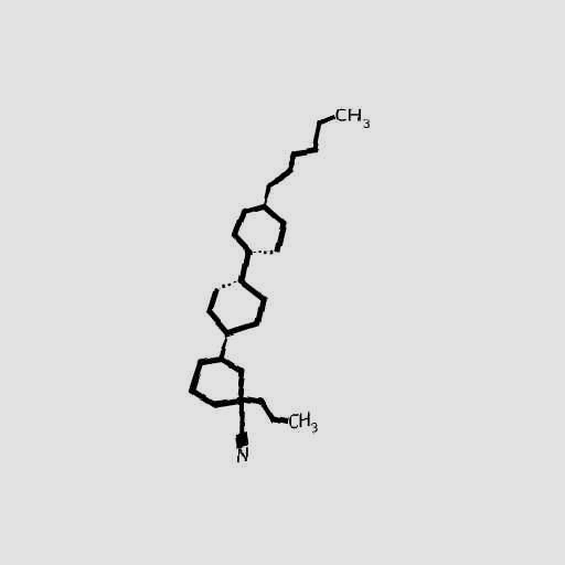 CCCCCC[C@H]1CC[C@H]([C@H]2CC[C@H](C3CCCC(C#N)(CCC)C3)CC2)CC1